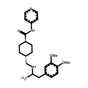 COc1ccc(CC(C)NC[C@H]2CC[C@H](C(=O)Nc3ccncc3)CC2)cc1OC